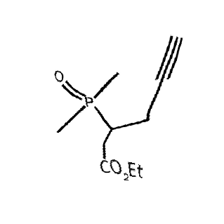 C#CCC(C(=O)OCC)P(C)(C)=O